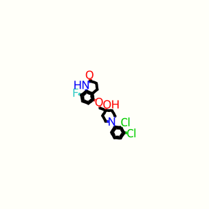 O=C1CCc2c(OCC3(O)CCN(c4cccc(Cl)c4Cl)CC3)ccc(F)c2N1